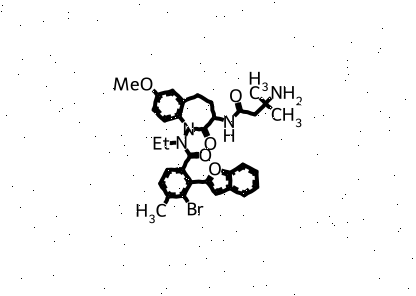 CCN(C(=O)c1ccc(C)c(Br)c1-c1cc2ccccc2o1)N1C(=O)C(NC(=O)CC(C)(C)N)CCc2cc(OC)ccc21